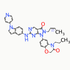 C/C=C\Cn1c(=O)c2cnc(Nc3ccc4c(ccn4-c4ccncc4)c3)nc2n1-c1ccc2c(c1)N(CCC)C(=O)CO2